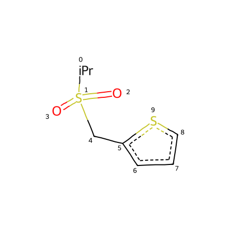 CC(C)S(=O)(=O)Cc1cccs1